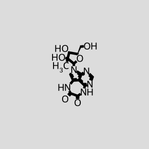 CC1(O)C(n2cc3c4c(ncnc42)NC(=O)C(=O)N3)O[C@H](CO)[C@H]1O